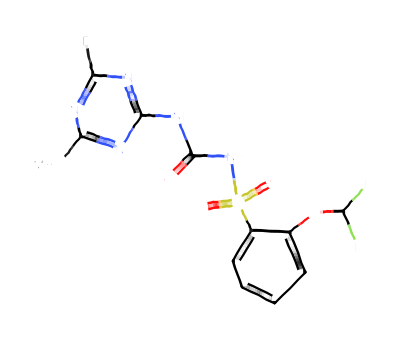 CCc1nc(NC(=O)NS(=O)(=O)c2ccccc2OC(F)F)nc(OC)n1